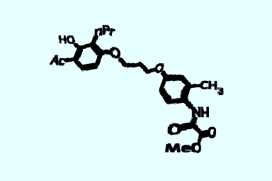 CCCc1c(OCCCOc2ccc(NC(=O)C(=O)OC)c(C)c2)ccc(C(C)=O)c1O